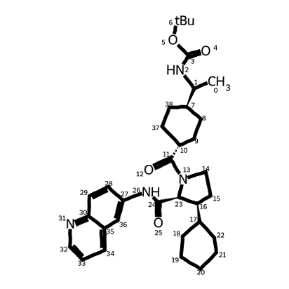 CC(NC(=O)OC(C)(C)C)[C@H]1CC[C@H](C(=O)N2CC[C@@H](C3CCCCC3)[C@H]2C(=O)Nc2ccc3ncccc3c2)CC1